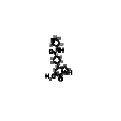 Cn1cc(-c2ccc(C(=O)Nc3cccnc3)cc2)c2cc[nH]c2c1=O